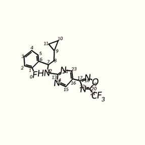 Fc1ccccc1C(CC1CC1)Nc1ncc(-c2noc(C(F)(F)F)n2)cn1